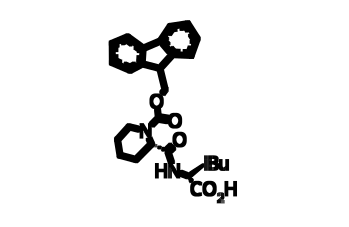 CC[C@H](C)[C@@H](NC(=O)[C@@H]1CCCCN1C(=O)OCC1c2ccccc2-c2ccccc21)C(=O)O